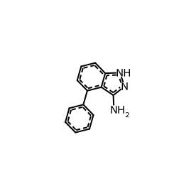 Nc1n[nH]c2cccc(-c3ccccc3)c12